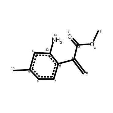 C=C(C(=O)OC)c1ccc(C)cc1N